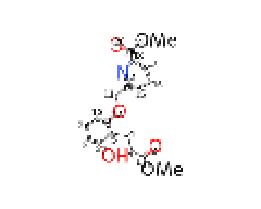 COC(=O)CCc1c(O)cccc1OCc1cccc(C(=O)OC)n1